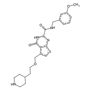 COc1cccc(CNC(=O)c2nc3scc(COCCC4CCNCC4)c3c(=O)[nH]2)c1